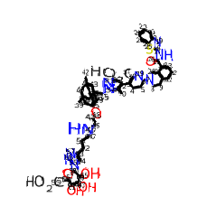 Cc1c(-c2ccc(N3CCc4cccc(C(=O)Nc5nc6ccccc6s5)c4C3)nc2C(=O)O)cnn1CC12CC3(C)CC(C)(C1)CC(OCCNCCCc1cn([C@@H]4O[C@H](C(=O)O)[C@@H](O)[C@H](O)[C@H]4O)nn1)(C3)C2